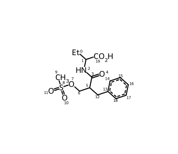 CCC(NC(=O)C(COS(C)(=O)=O)Cc1ccccc1)C(=O)O